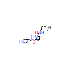 O=C(O)CCNC(=O)c1cccc(C(=O)NCCC2CCNCC2)n1